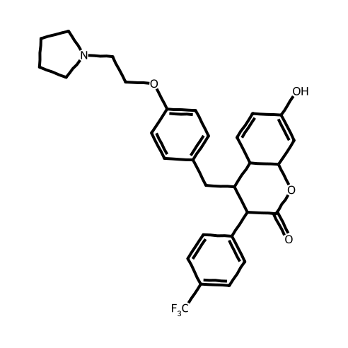 O=C1OC2C=C(O)C=CC2C(Cc2ccc(OCCN3CCCC3)cc2)C1c1ccc(C(F)(F)F)cc1